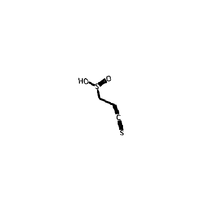 O=S(O)CC=C=S